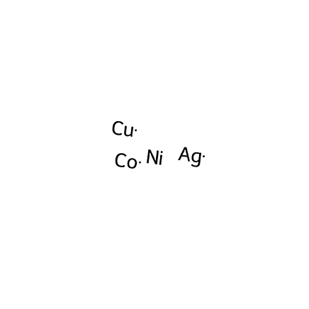 [Ag].[Co].[Cu].[Ni]